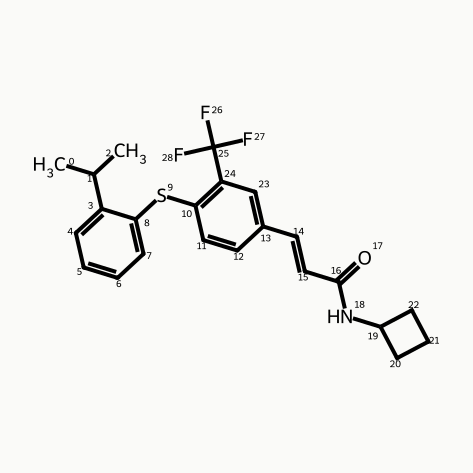 CC(C)c1ccccc1Sc1ccc(C=CC(=O)NC2CCC2)cc1C(F)(F)F